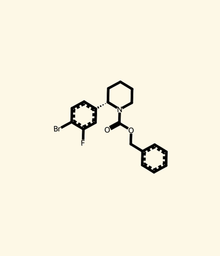 O=C(OCc1ccccc1)N1CCCC[C@H]1c1ccc(Br)c(F)c1